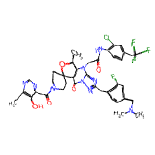 Cc1ncnc(C(=O)N2CCC3(CC2)O[C@@H](C)c2c3c(=O)n3nc(-c4ccc(CN(C)C)cc4F)nc3n2CC(=O)Nc2ccc(C(F)(F)F)cc2Cl)c1O